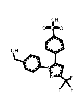 CS(=O)(=O)c1ccc(-c2cc(C(F)(F)F)nn2-c2ccc(CO)cc2)cc1